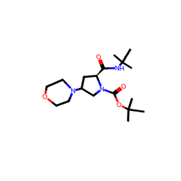 CC(C)(C)NC(=O)[C@@H]1CC(N2CCOCC2)CN1C(=O)OC(C)(C)C